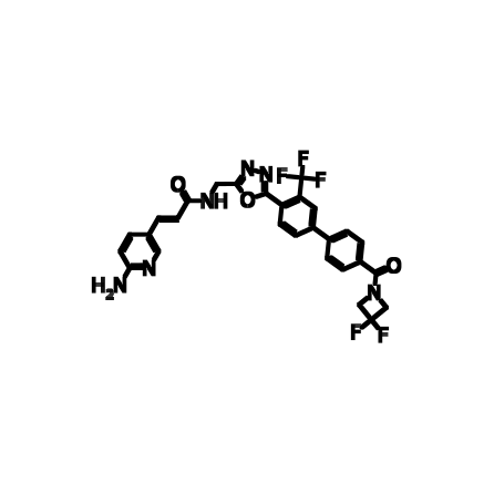 Nc1ccc(C=CC(=O)NCc2nnc(-c3ccc(-c4ccc(C(=O)N5CC(F)(F)C5)cc4)cc3C(F)(F)F)o2)cn1